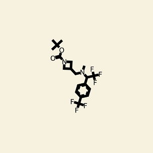 CN(CC1CN(C(=O)OC(C)(C)C)C1)C(c1ccc(C(F)(F)F)cc1)C(F)(F)F